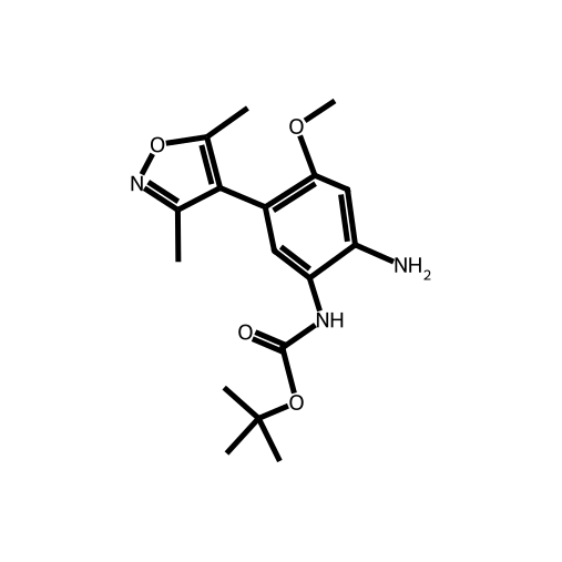 COc1cc(N)c(NC(=O)OC(C)(C)C)cc1-c1c(C)noc1C